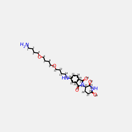 NCCCCOCCCCOCCCCNc1ccc2c(c1)C(=O)N(C1CCC(=O)NC1=O)C2=O